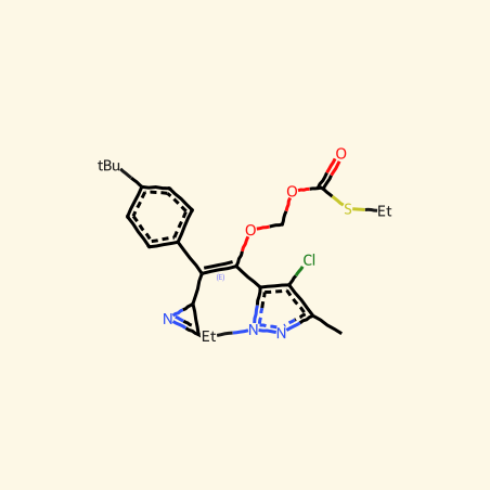 CCSC(=O)OCO/C(=C(\c1ccc(C(C)(C)C)cc1)C1C=N1)c1c(Cl)c(C)nn1CC